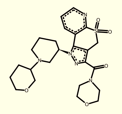 O=C(c1nn([C@@H]2CCCN(C3CCCOC3)C2)c2c1CS(=O)(=O)c1ncccc1-2)N1CCOCC1